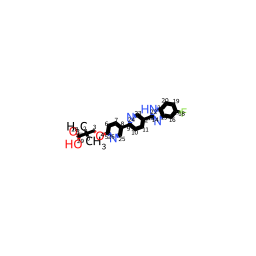 CC(C)(COc1ccc(-c2ccc(-c3nc4cc(F)ccc4[nH]3)cn2)cn1)C(=O)O